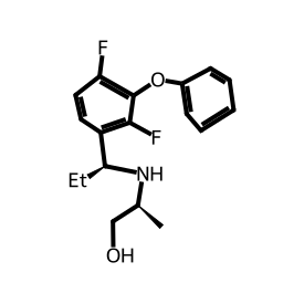 CC[C@H](N[C@@H](C)CO)c1ccc(F)c(Oc2ccccc2)c1F